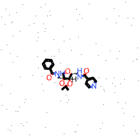 CC1(C)O[C@@H]2[C@@H](CNC(=O)c3ccncc3)OC[C@]2(CNC(=O)c2ccccc2)O1